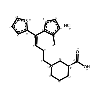 Cc1ccsc1C(=CCCN1CCC[C@H](C(=O)O)C1)c1cccs1.Cl